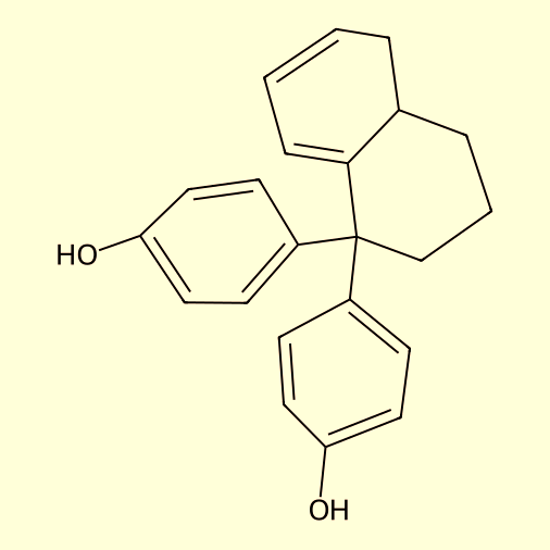 Oc1ccc(C2(c3ccc(O)cc3)CCCC3CC=CC=C32)cc1